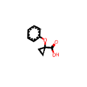 O=C(O)C1(Oc2[c]cccc2)CC1